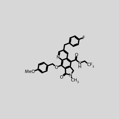 COc1ccc(COc2c3c(c(C(=O)NCC(F)(F)F)c4cc(Cc5ccc(F)cc5)cnc24)CN(C)C3=O)cc1